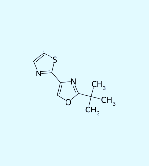 CC(C)(C)c1nc(-c2nc[c]s2)co1